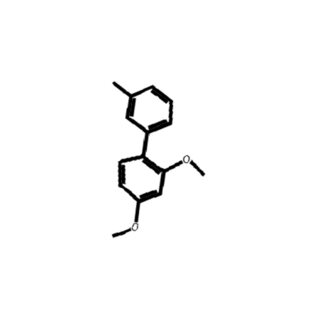 COc1ccc(-c2cccc(C)c2)c(OC)c1